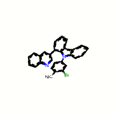 N#Cc1ccc(-n2c3ccccc3c3cccc(-c4cnc5ccccc5c4)c32)cc1Br